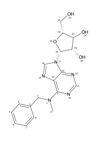 CN(Cc1ccccc1)c1ncnc2c1ncn2[C@@H]1O[C@H](CO)C(O)[C@@H]1O